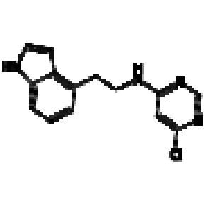 Clc1cc(NCCc2cccc3[nH]ccc23)ncn1